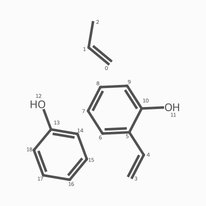 C=CC.C=Cc1ccccc1O.Oc1ccccc1